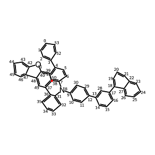 c1ccc(-c2ccc(N(c3ccc(-c4cccc(-c5cccc6ccccc56)c4)cc3)c3ccccc3-c3ccc4oc5ccccc5c4c3)cc2)cc1